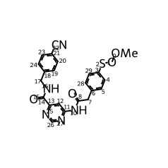 COOSc1ccc(CC(=O)Nc2cc(C(=O)NCc3ccc(C#N)cc3)ncn2)cc1